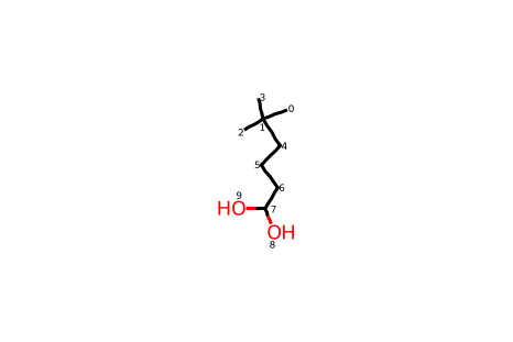 CC(C)(C)CCCC(O)O